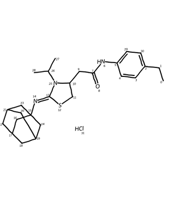 CCc1ccc(NC(=O)CC2CSC(=NC34CC5CC(CC(C5)C3)C4)N2C(C)C)cc1.Cl